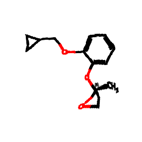 C[C@@]1(Oc2ccccc2OCC2CC2)CO1